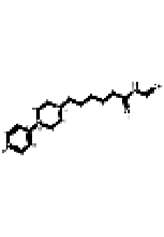 O=CNC(=O)CCCCCN1CCN(c2ccncc2)CC1